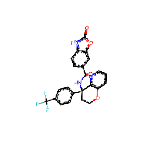 O=C(NC1(c2ccc(C(F)(F)F)cc2)CCOc2cccnc21)c1ccc2[nH]c(=O)oc2c1